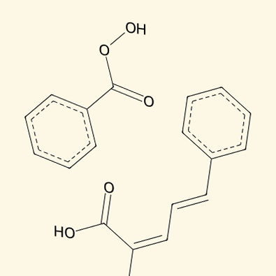 CC(=CC=Cc1ccccc1)C(=O)O.O=C(OO)c1ccccc1